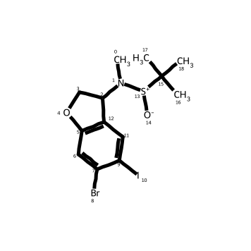 CN(C1COc2cc(Br)c(I)cc21)[S+]([O-])C(C)(C)C